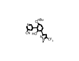 CCCCOc1ccc(-c2cc(C(F)(F)F)n(C)n2)c(O)c1-c1cncc(C#N)c1